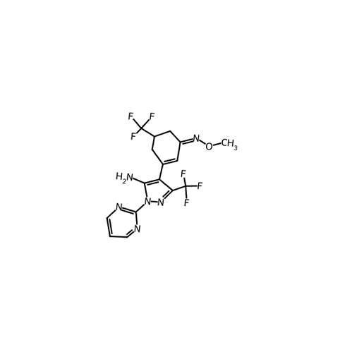 CON=C1C=C(c2c(C(F)(F)F)nn(-c3ncccn3)c2N)CC(C(F)(F)F)C1